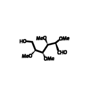 CO[C@@H]([C@H](OC)[C@@H](CO)OC)[C@H](C=O)OC